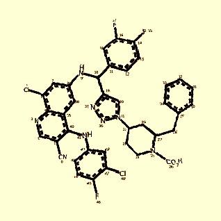 N#Cc1cnc2c(Cl)cc(NC(c3ccc(F)c(F)c3)c3cn(C4CCN(C(=O)O)C(Cc5ccccc5)C4)nn3)cc2c1Nc1ccc(F)c(Cl)c1